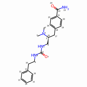 CN(C)[C@H](CNC(=O)NCCc1ccccc1)Cc1ccc(C(N)=O)cc1